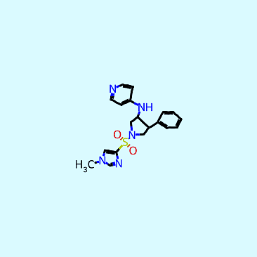 Cn1cnc(S(=O)(=O)N2CC(Nc3ccncc3)C(c3ccccc3)C2)c1